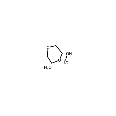 C1COCCO1.CCO.O